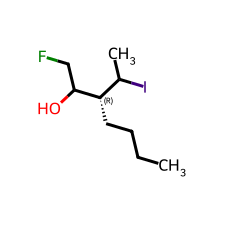 CCCC[C@@H](C(C)I)C(O)CF